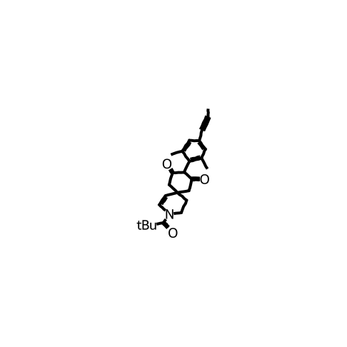 CC#Cc1cc(C)c(C2C(=O)CC3(C=CN(C(=O)C(C)(C)C)CC3)CC2=O)c(C)c1